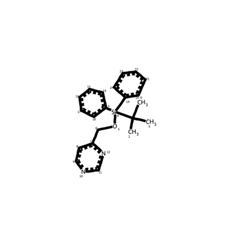 CC(C)(C)[Si](OCc1ccncn1)(c1ccccc1)c1ccccc1